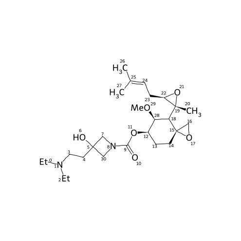 CCN(CC)CCC1(O)CN(C(=O)O[C@@H]2CC[C@]3(CO3)C([C@@]3(C)O[C@@H]3CC=C(C)C)[C@@H]2OC)C1